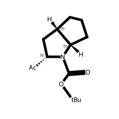 CC(=O)[C@@H]1C[C@@H]2CCC[C@@H]2N1C(=O)OC(C)(C)C